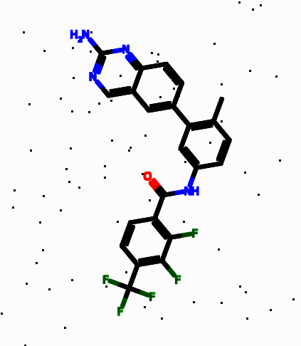 Cc1ccc(NC(=O)c2ccc(C(F)(F)F)c(F)c2F)cc1-c1ccc2nc(N)ncc2c1